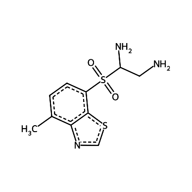 Cc1ccc(S(=O)(=O)C(N)CN)c2scnc12